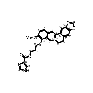 COc1ccc2cc3[n+](cc2c1OCCCOC(=O)c1c[nH]cn1)CCc1cc2c(cc1-3)OCO2